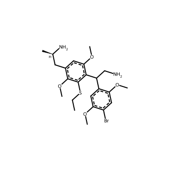 CCSc1c(OC)c(C[C@@H](C)N)cc(OC)c1C(CN)c1cc(OC)c(Br)cc1OC